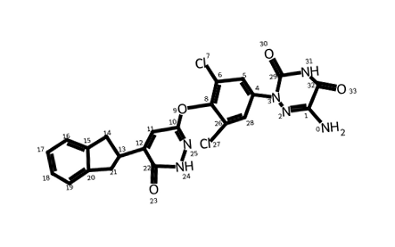 Nc1nn(-c2cc(Cl)c(Oc3cc(C4Cc5ccccc5C4)c(=O)[nH]n3)c(Cl)c2)c(=O)[nH]c1=O